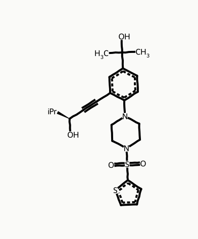 CC(C)[C@H](O)C#Cc1cc(C(C)(C)O)ccc1N1CCN(S(=O)(=O)c2cccs2)CC1